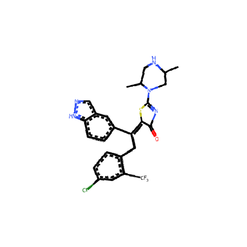 CC1CN(C2=NC(=O)C(=C(Cc3ccc(Cl)cc3C(F)(F)F)c3ccc4[nH]ncc4c3)S2)C(C)CN1